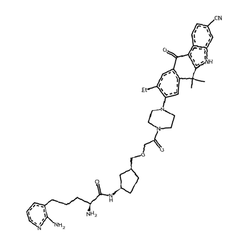 CCc1cc2c(cc1N1CCN(C(=O)COC[C@H]3CC[C@@H](NC(=O)[C@@H](N)CCCc4cccnc4N)C3)CC1)C(C)(C)c1[nH]c3cc(C#N)ccc3c1C2=O